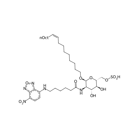 CCCCCCCC/C=C\CCCCCCCCO[C@H]1O[C@H](COS(=O)(=O)O)[C@@H](O)[C@H](O)[C@H]1NC(=O)CCCCCNc1ccc([N+](=O)[O-])c2nonc12